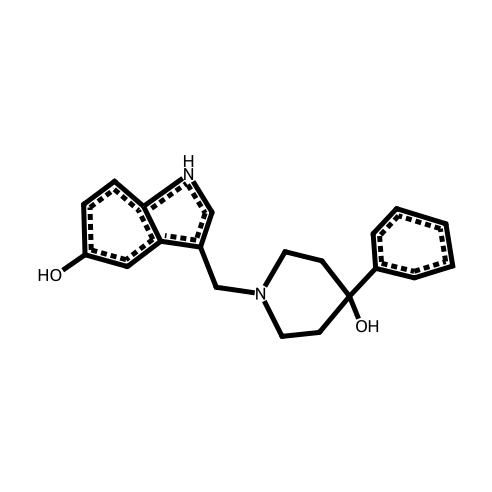 Oc1ccc2[nH]cc(CN3CCC(O)(c4ccccc4)CC3)c2c1